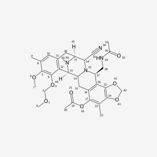 COCOc1c(OC)c(C)cc2c1[C@@H]1C3Cc4c(OC(C)=O)c(C)c5c(c4[C@H](CNC(C)=O)N3C(C#N)[C@H](C2)N1C)OCO5